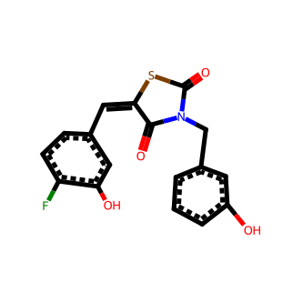 O=C1SC(=Cc2ccc(F)c(O)c2)C(=O)N1Cc1cccc(O)c1